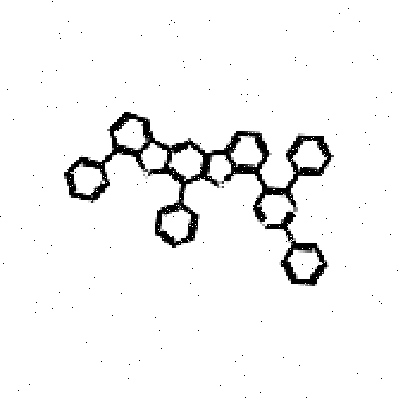 c1ccc(-c2ncc(-c3cccc4c3oc3c(-c5ccccc5)c5oc6c(-c7ccccc7)cccc6c5cc34)c(-c3ccccc3)n2)cc1